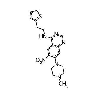 CN1CCN(c2cc3ncnc(NCCc4cccs4)c3cc2[N+](=O)[O-])CC1